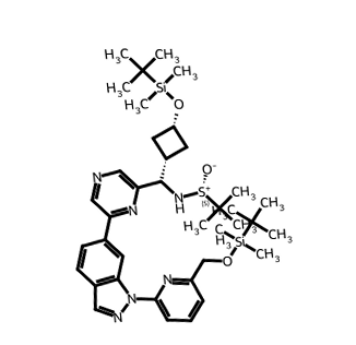 CC(C)(C)[S@@+]([O-])NC(c1cncc(-c2ccc3cnn(-c4cccc(CO[Si](C)(C)C(C)(C)C)n4)c3c2)n1)[C@H]1C[C@@H](O[Si](C)(C)C(C)(C)C)C1